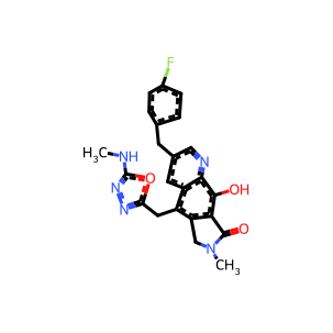 CNc1nnc(Cc2c3c(c(O)c4ncc(Cc5ccc(F)cc5)cc24)C(=O)N(C)C3)o1